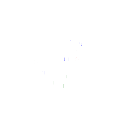 CNC(=O)c1ncccc1NC1=CC(Cl)=NCC1(C)C(F)(F)F